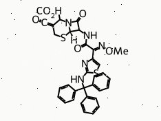 CON=C(C(=O)NC1C(=O)N2C(C(=O)O)C(=C=O)CS[C@@H]12)c1csc(NC(c2ccccc2)(c2ccccc2)c2ccccc2)n1